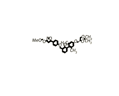 COCOc1cc(-c2ccc(OCc3cccc(-c4c(C)cc(OC[C@H]5COC(C)(C)O5)cc4C)c3C)cc2)on1